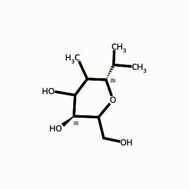 CC(C)[C@@H]1OC(CO)[C@@H](O)C(O)C1C